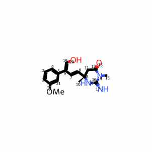 COc1cccc(C(/C=C/[C@]2(C)CC(=O)N(C)C(=N)N2)=C/O)c1